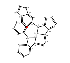 c1ccc(-n2c3ccccc3c3ccc4c5ccccc5n(-c5ccc6ncoc6c5)c4c32)cc1